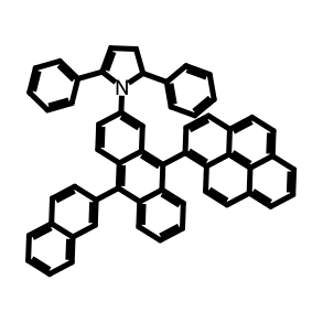 C1=C(c2ccccc2)N(c2ccc3c(-c4ccc5ccccc5c4)c4ccccc4c(-c4ccc5ccc6cccc7ccc4c5c67)c3c2)C(c2ccccc2)C1